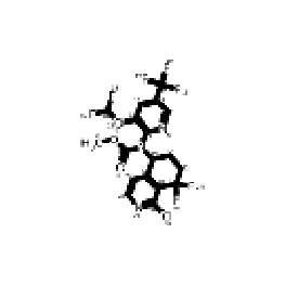 COC(=O)N(c1ncc(C(F)(F)F)cc1OC(F)F)C1CCC(F)(F)c2c1ccnc2Cl